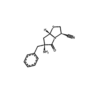 N#C[C@@H]1CS[C@H]2C[C@@](N)(Cc3ccccc3)C(=O)N12